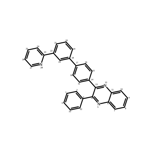 c1ccc(-c2nc3ccccc3nc2-c2ccc(-c3cccc(-c4ccccn4)c3)cc2)cc1